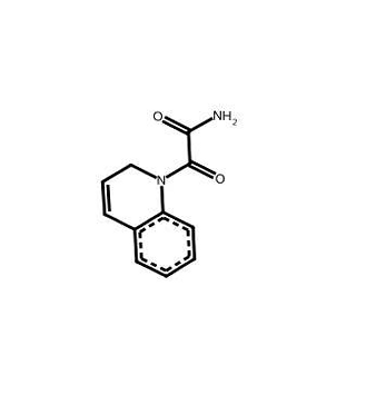 NC(=O)C(=O)N1CC=Cc2ccccc21